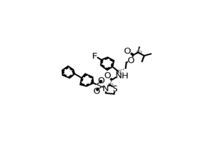 CC(C)[C@H](C)C(=O)OCC[C@H](NC(=O)[C@@H]1SCCN1S(=O)(=O)c1ccc(-c2ccccc2)cc1)c1ccc(F)cc1